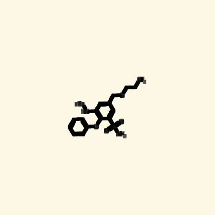 CCCCNc1cc(COCCC(F)(F)F)cc(S(N)(=O)=O)c1Oc1ccccc1